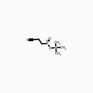 C[Si](C)(C)O[PH](=O)CCC#N